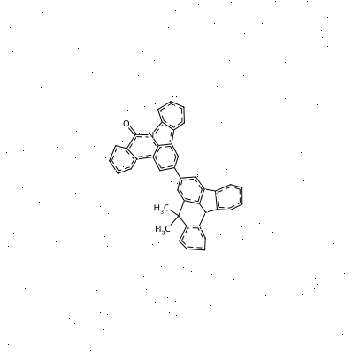 CC1(C)c2ccccc2C2c3ccccc3-c3cc(-c4cc5c6ccccc6c(=O)n6c7ccccc7c(c4)c56)cc1c32